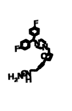 NONCCC#Cc1ccc(CN2CCN(C(c3ccc(F)cc3)c3ccc(F)cc3)CC2)o1